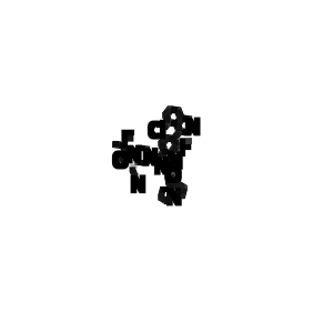 C=C(F)C(=O)N1CCN(c2nc(OCC34CCCN3CCC4)nc3c(F)c(-c4cncc5cccc(Cl)c45)ccc23)C[C@@H]1CC#N